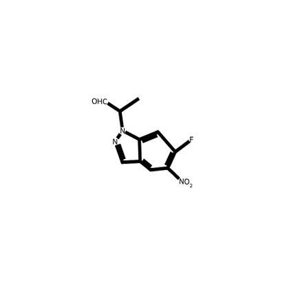 CC(C=O)n1ncc2cc([N+](=O)[O-])c(F)cc21